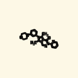 Cc1c2cnn(-c3ccccn3)c(=O)c2c(C)n1-c1cccc(N2CCOCC2)c1